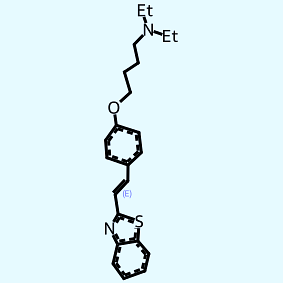 CCN(CC)CCCCOc1ccc(/C=C/c2nc3ccccc3s2)cc1